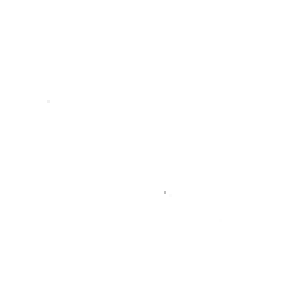 O/N=C\c1coc(C#CCCc2cccnc2)n1